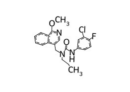 CCCN(Cc1cnc(OC)c2ccccc12)C(=O)Nc1ccc(F)c(Cl)c1